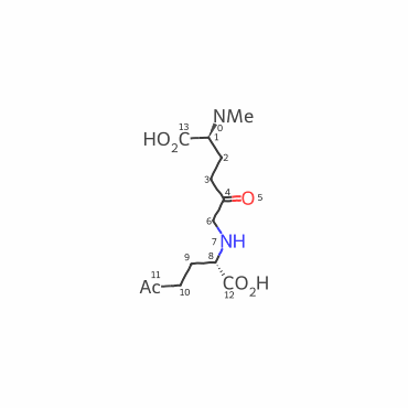 CN[C@@H](CCC(=O)CN[C@@H](CCC(C)=O)C(=O)O)C(=O)O